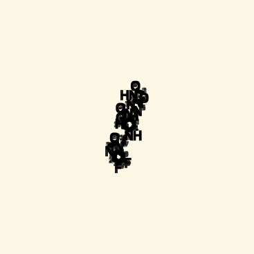 O=C1COc2cnc(N3C(=O)O[C@H]4C[C@@H](NCCn5c(=O)cnc6cc(F)c(F)cc65)CC[C@@H]43)nc2N1